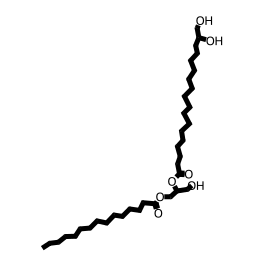 CCCCCCCCCCCCCCC(=O)OCC(CO)OC(=O)CCCCCCCCCCCCCCCC(O)CO